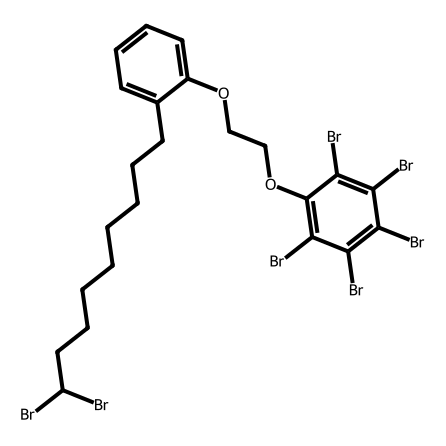 Brc1c(Br)c(Br)c(OCCOc2ccccc2CCCCCCCCC(Br)Br)c(Br)c1Br